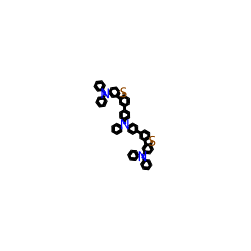 C1=C(N(c2ccccc2)c2ccccc2)CCc2sc3ccc(-c4ccc(N(c5ccccc5)c5ccc(-c6ccc7sc8ccc(N(c9ccccc9)c9ccccc9)cc8c7c6)cc5)cc4)cc3c21